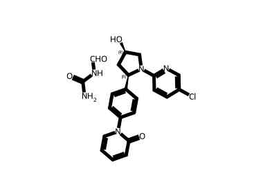 NC(=O)NC=O.O=c1ccccn1-c1ccc([C@H]2C[C@@H](O)CN2c2ccc(Cl)cn2)cc1